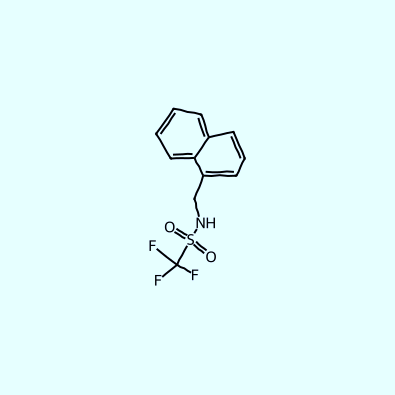 O=S(=O)(NCc1cccc2ccccc12)C(F)(F)F